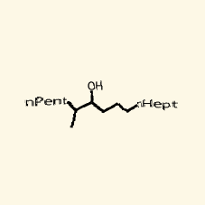 CCCCCCCCCCC(O)C(C)CCCCC